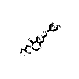 C/C=C1/C(=O)N(CC(O)CC)CCO/C1=C/C(F)=C/NC(/C=C\N)=C/N